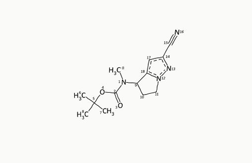 CN(C(=O)OC(C)(C)C)C1CCn2nc(C#N)cc21